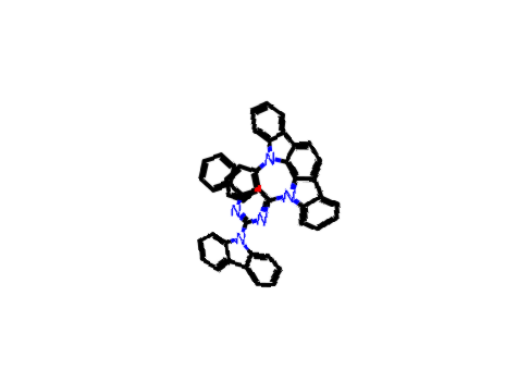 c1ccc(-c2cc(-n3c4ccccc4c4ccc5c6ccccc6n(-c6ccccc6)c5c43)nc(-n3c4ccccc4c4ccccc43)n2)cc1